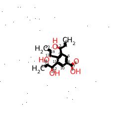 C=CC(O)c1cc(C(=O)O)cc(C(O)C=C)c1C(O)C=C